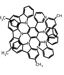 Cc1ccc2c(c1)c1ccccc1n2-c1c(-c2cccnc2)c(-n2c3ccccc3c3cc(C)ccc32)c(-n2c3ccccc3c3cc(C)ccc32)c(-n2c3ccccc3c3cc(C)ccc32)c1-c1nc2ccccc2n1-c1ccccc1